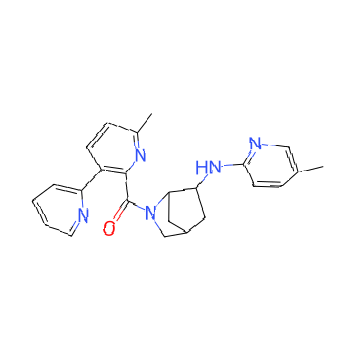 Cc1ccc(NC2CC3CC2N(C(=O)c2nc(C)ccc2-c2ccccn2)C3)nc1